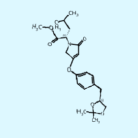 COC(=O)[C@H](CC(C)C)N1CC(Oc2ccc(C[C@H]3COC(C)(C)O3)cc2)=CC1=O